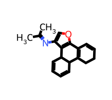 CC(C)=Nc1coc2c1C1C=CC=CC1C1=C2C=CCC1